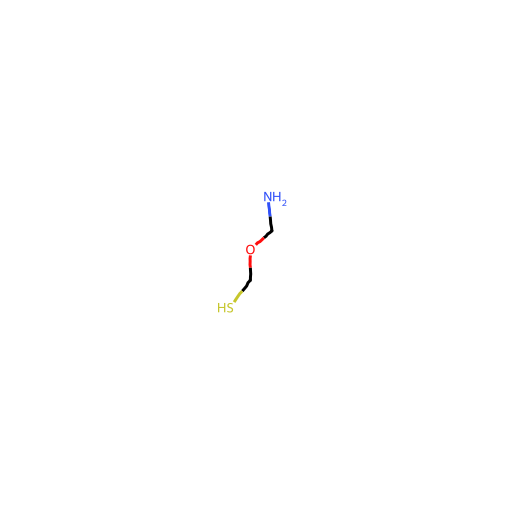 NCOCS